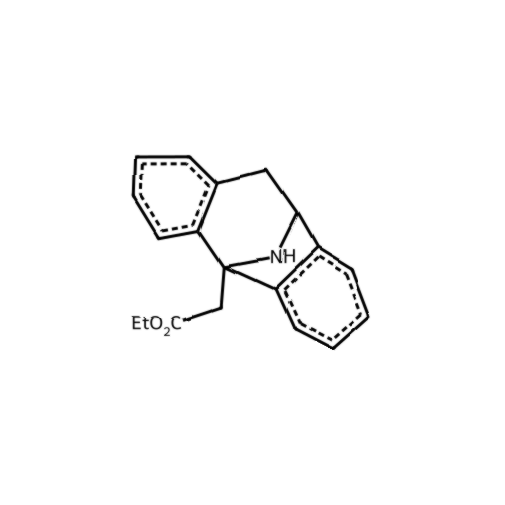 CCOC(=O)CC12NC(Cc3ccccc31)c1ccccc12